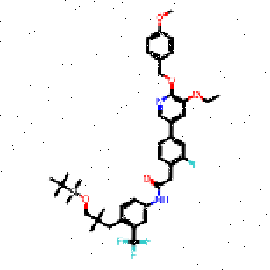 CCOc1cc(-c2ccc(CC(=O)Nc3ccc(CC(C)(C)CO[Si](C)(C)C(C)(C)C)c(C(F)(F)F)c3)c(F)c2)cnc1OCc1ccc(OC)cc1